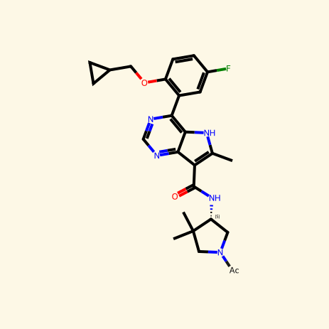 CC(=O)N1C[C@@H](NC(=O)c2c(C)[nH]c3c(-c4cc(F)ccc4OCC4CC4)ncnc23)C(C)(C)C1